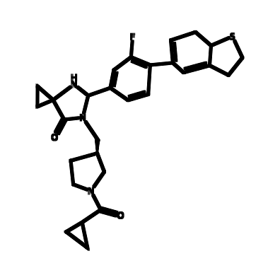 O=C(C1CC1)N1CC[C@@H](CN2C(=O)C3(CC3)NC2c2ccc(C3=CCC4SCCC4=C3)c(F)c2)C1